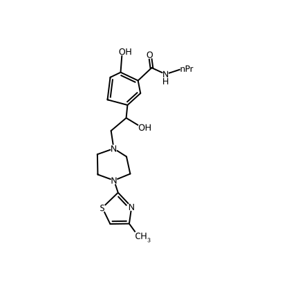 CCCNC(=O)c1cc(C(O)CN2CCN(c3nc(C)cs3)CC2)ccc1O